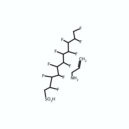 C=CCN.O=S(=O)(O)CC(F)C(F)C(F)C(F)C(F)C(F)C(F)C(F)C(F)CF